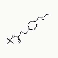 CCOCC1CCC(COC(=O)OC(C)(C)C)CC1